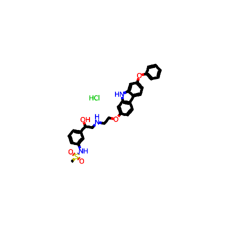 CS(=O)(=O)Nc1cccc(C(O)CNCCOc2ccc3c(c2)[nH]c2cc(Oc4ccccc4)ccc23)c1.Cl